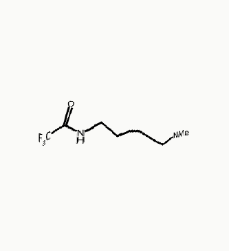 CNCCCCNC(=O)C(F)(F)F